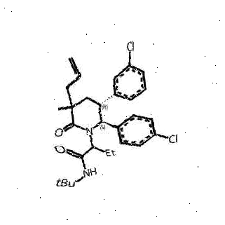 C=CCC1(C)C[C@H](c2cccc(Cl)c2)[C@@H](c2ccc(Cl)cc2)N(C(CC)C(=O)NC(C)(C)C)C1=O